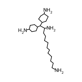 NCCCCCCCCCCCC(N)C(C1CCC(N)CC1)C1CCC(N)CC1